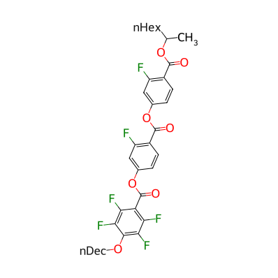 CCCCCCCCCCOc1c(F)c(F)c(C(=O)Oc2ccc(C(=O)Oc3ccc(C(=O)OC(C)CCCCCC)c(F)c3)c(F)c2)c(F)c1F